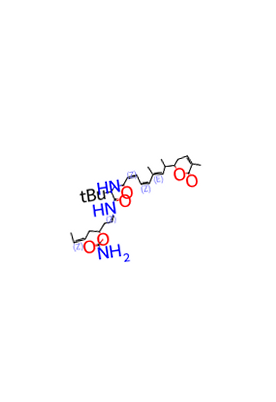 C/C=C\CC(C/C=C\NC(=O)C(NC(=O)\C=C/C=C\C(C)=C\C(C)C1CC=C(C)C(=O)O1)C(C)(C)C)OC(N)=O